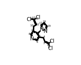 ClC(Cl)=CCc1[c]ncc(CC=C(Cl)Cl)c1-n1cccn1